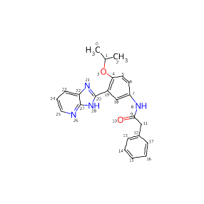 CC(C)Oc1ccc(NC(=O)Cc2ccccc2)cc1-c1nc2cccnc2[nH]1